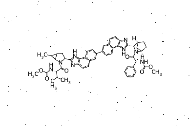 COC(=O)N[C@H](C(=O)N1C2C(C)C2C[C@H]1c1nc2ccc3cc(-c4ccc5c(ccc6nc([C@@H]7[C@H]8CC[C@H](C8)N7C(=O)[C@H](NC(=O)OC)c7ccccc7)[nH]c65)c4)ccc3c2[nH]1)C(C)C